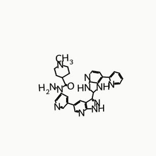 CN1CCC(C(=O)N(N)c2cncc(-c3cnc4[nH]nc(C5Nc6nccc(-c7ccccn7)c6N5)c4c3)c2)CC1